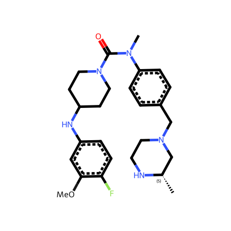 COc1cc(NC2CCN(C(=O)N(C)c3ccc(CN4CCN[C@@H](C)C4)cc3)CC2)ccc1F